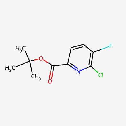 CC(C)(C)OC(=O)c1ccc(F)c(Cl)n1